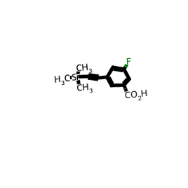 C[Si](C)(C)C#Cc1cc(F)cc(C(=O)O)c1